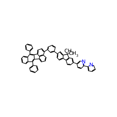 CC1(C)c2cc(-c3ccc(-c4ccccn4)nc3)ccc2-c2ccc(-c3cccc(-c4ccc5c6c(cccc46)-c4c-5c(-c5ccccc5)c5ccccc5c4-c4ccccc4)c3)cc21